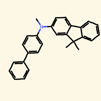 CN(c1ccc(-c2ccccc2)cc1)c1ccc2c(c1)C(C)(C)c1ccccc1-2